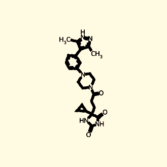 Cc1n[nH]c(C)c1-c1cccc(N2CCN(C(=O)CCC3(C4CC4)NC(=O)NC3=O)CC2)c1